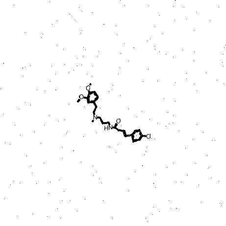 COc1ccc(CCN(C)CCCNC(=O)C/C=C/c2ccc(Cl)cc2)cc1OC